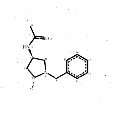 CC(=O)N[C@@H]1C[C@@H](C)N(Cc2ccccc2)C1